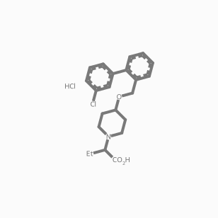 CCC(C(=O)O)N1CCC(OCc2ccccc2-c2cccc(Cl)c2)CC1.Cl